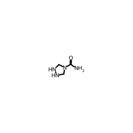 NC(=O)N1CNNC1